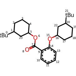 CC(C)(C)C1CCCC(OC(=O)c2ccccc2OC2CCCC(C(C)(C)C)C2)C1